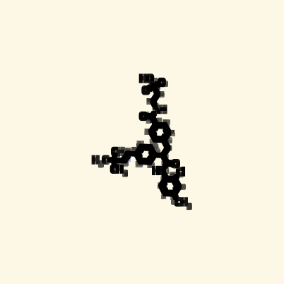 Cc1ccc(NC(=O)C(Cc2ccc(C(=O)NCCS(=O)(=O)O)cc2)c2ccc(/C=C/C(C)(C)C)cc2)c(Cl)c1